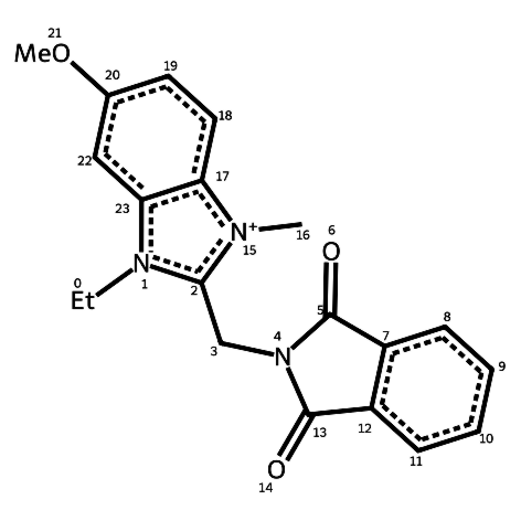 CCn1c(CN2C(=O)c3ccccc3C2=O)[n+](C)c2ccc(OC)cc21